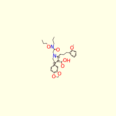 CCCON(CCC)C(=O)CN1C[C@H](c2ccc3c(c2)OCO3)[C@@H](C(=O)O)[C@@H]1CCCc1ccccc1OC